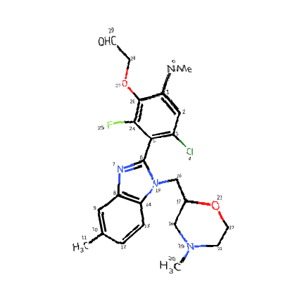 CNc1cc(Cl)c(-c2nc3cc(C)ccc3n2CC2CN(C)CCO2)c(F)c1OCC=O